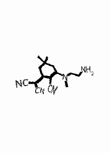 CN(CCN)C1=C(C#N)C(=C(C#N)C#N)CC(C)(C)C1